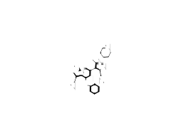 Cc1c(-c2cc(Sc3ccccc3F)c3c(C#N)cnn3c2)c(C#N)nn1C1CCN(C)CC1